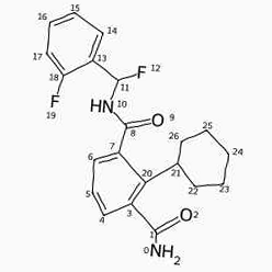 NC(=O)c1cccc(C(=O)NC(F)c2ccccc2F)c1C1CCCCC1